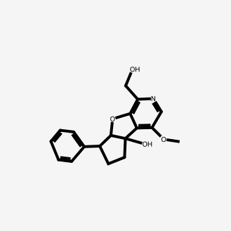 COc1cnc(CO)c2c1C1(O)CCC(c3ccccc3)C1O2